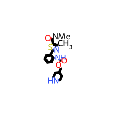 CNC(=O)c1sc(-c2ccccc2NC(=O)OCC2CCNCC2)nc1C